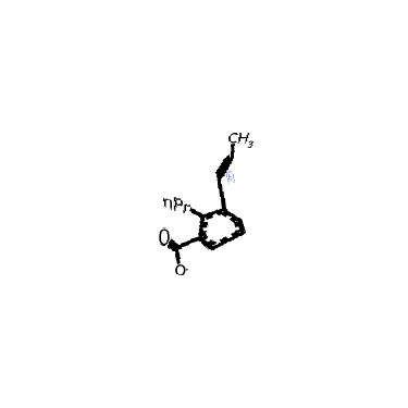 C/C=C/c1cccc(C([O])=O)c1CCC